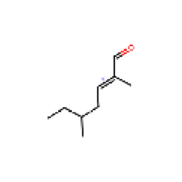 CCC(C)C/C=C(\C)C=O